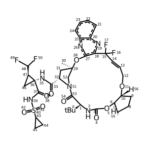 CC(C)(C)[C@@H]1NC(=O)O[C@@H]2CCC[C@H]2OC/C=C/C(F)(F)c2nc3ccccc3nc2O[C@]2(C)C[C@@H](C(=O)N[C@]3(C(=O)NS(=O)(=O)C4CC4)C[C@H]3C(F)F)N(C2)C1=O